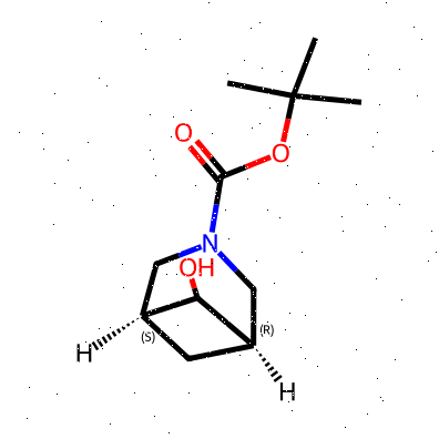 CC(C)(C)OC(=O)N1C[C@H]2C[C@@H](C1)C2O